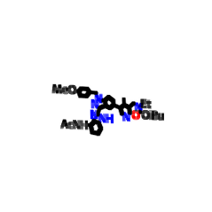 CCN(Cc1cncc(-c2ccc3c(c2)c(-c2nc4c(NC(C)=O)cccc4[nH]2)nn3Cc2ccc(OC)cc2)c1C)C(=O)OCC(C)C